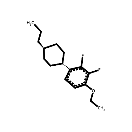 CCC[C@H]1CC[C@H](c2ccc(OCC)c(F)c2F)CC1